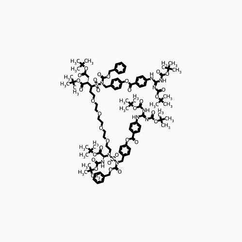 CC(C)(C)OC(=O)C[C@@H](C(=O)OC(C)(C)C)C(CCOCCOCCOCCOCCN([C@H](NC(=O)OC(C)(C)C)C(=O)OC(C)(C)C)S(=O)(=O)N(Cc1ccc(OC(=O)c2ccc(NC(=NC(=O)OC(C)(C)C)NC(=O)OC(C)(C)C)cc2)cc1)C(=O)OCc1ccccc1)S(=O)(=O)N(Cc1ccc(OC(=O)c2ccc(NC(=NC(=O)OC(C)(C)C)NC(=O)OC(C)(C)C)cc2)cc1)C(=O)OCc1ccccc1